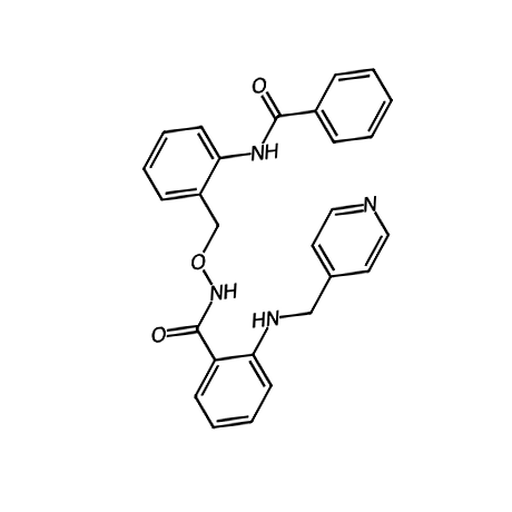 O=C(Nc1ccccc1CONC(=O)c1ccccc1NCc1ccncc1)c1ccccc1